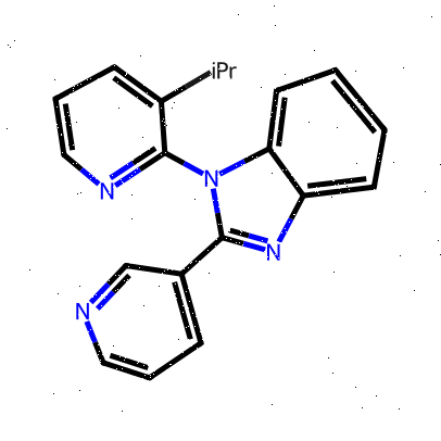 CC(C)c1cccnc1-n1c(-c2cccnc2)nc2ccccc21